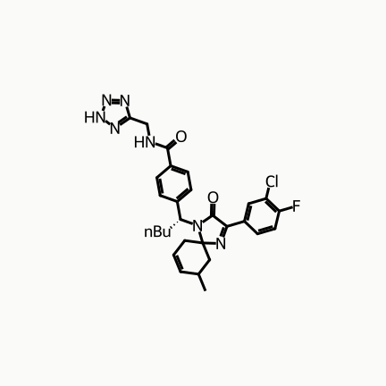 CCCC[C@H](c1ccc(C(=O)NCc2nn[nH]n2)cc1)N1C(=O)C(c2ccc(F)c(Cl)c2)=NC12CC=CC(C)C2